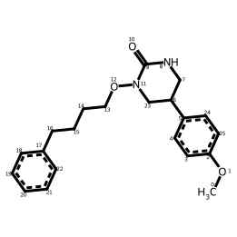 COc1ccc(C2CNC(=O)N(OCCCCc3ccccc3)C2)cc1